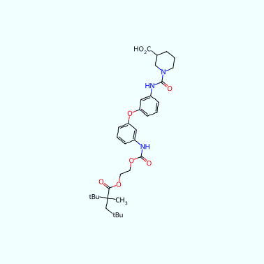 CC(C)(C)CC(C)(C(=O)OCCOC(=O)Nc1cccc(Oc2cccc(NC(=O)N3CCCC(C(=O)O)C3)c2)c1)C(C)(C)C